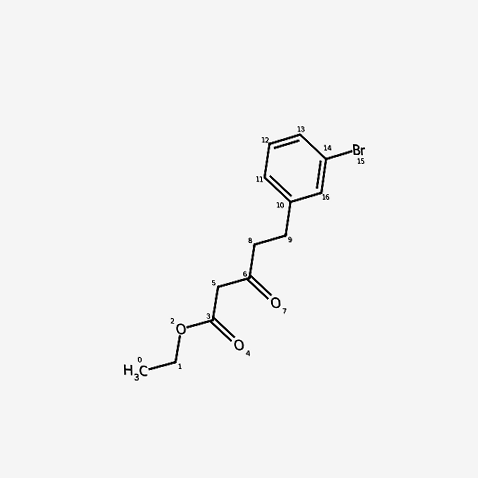 CCOC(=O)CC(=O)CCc1cccc(Br)c1